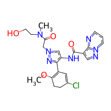 COC1=C(c2nn(CC(=O)N(C)CCO)cc2NC(=O)c2cnn3cccnc23)C=C(Cl)CC1